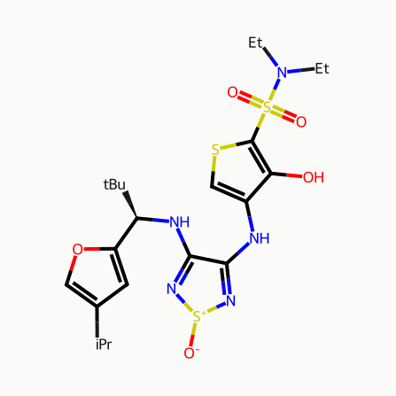 CCN(CC)S(=O)(=O)c1scc(Nc2n[s+]([O-])nc2N[C@@H](c2cc(C(C)C)co2)C(C)(C)C)c1O